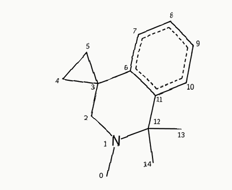 CN1CC2(CC2)c2ccccc2C1(C)C